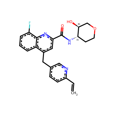 C=Cc1ccc(Cc2cc(C(=O)N[C@H]3CCOC[C@@H]3O)nc3c(F)cccc23)cn1